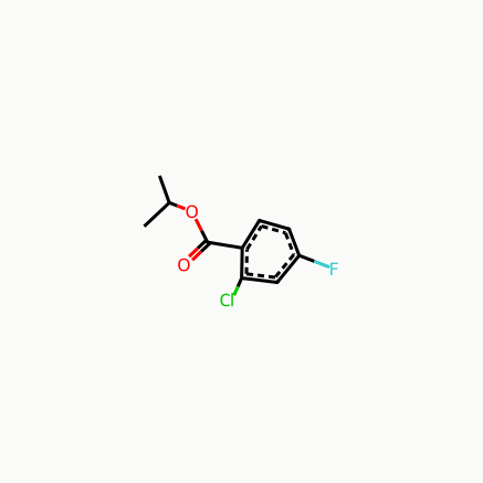 CC(C)OC(=O)c1ccc(F)cc1Cl